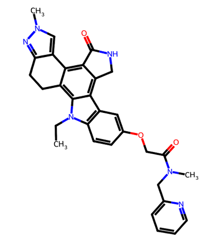 CCn1c2ccc(OCC(=O)N(C)Cc3ccccn3)cc2c2c3c(c4c(c21)CCc1nn(C)cc1-4)C(=O)NC3